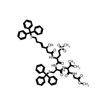 COC(=O)CNC(=O)C(NC(=O)C(CSC(c1ccccc1)(c1ccccc1)c1ccccc1)NC(=O)C(CCS(C)(=O)=O)NC(=O)CC(O)C=CCCSC(c1ccccc1)(c1ccccc1)c1ccccc1)C(C)C